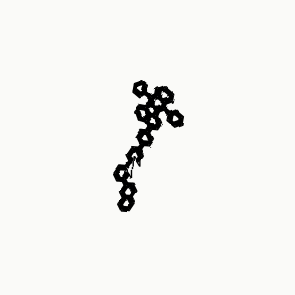 c1ccc(-c2c3c(c(-c4ccccc4)c4ccccc24)-c2ccc(-c4ccc(-c5ccc(-c6cccc(-c7ccc8ccccc8c7)n6)nc5)cc4)c4cccc-3c24)cc1